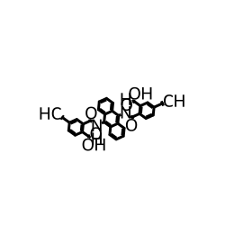 C#Cc1ccc(C(=O)Nc2c3ccccc3c(NC(=O)c3cc(C#C)ccc3C(=O)O)c3ccccc23)c(C(=O)O)c1